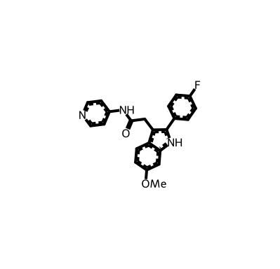 COc1ccc2c(CC(=O)Nc3ccncc3)c(-c3ccc(F)cc3)[nH]c2c1